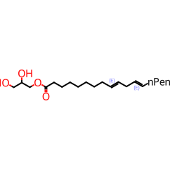 CCCCC/C=C/C/C=C/CCCCCCCC(=O)OCC(O)CO